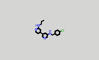 CCCNc1cc(-c2cncc(NCc3ccc(Cl)cc3)c2)ccn1